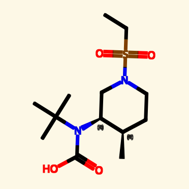 CCS(=O)(=O)N1CC[C@@H](C)[C@@H](N(C(=O)O)C(C)(C)C)C1